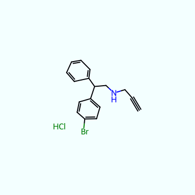 C#CCNCC(c1ccccc1)c1ccc(Br)cc1.Cl